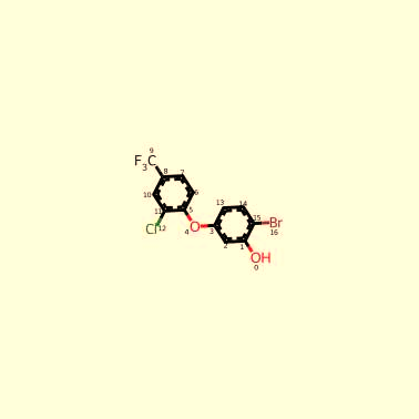 Oc1cc(Oc2ccc(C(F)(F)F)cc2Cl)ccc1Br